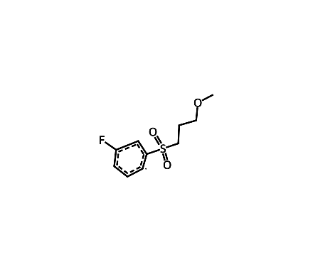 COCCCS(=O)(=O)c1[c]ccc(F)c1